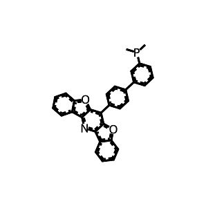 CP(C)c1cccc(-c2ccc(-c3c4oc5ccccc5c4nc4c3oc3ccccc34)cc2)c1